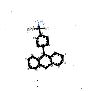 CCCC(N)(CC)c1ccc(-c2c3ccccc3cc3ccccc23)cc1